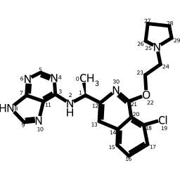 C[C@H](Nc1ncnc2[nH]cnc12)c1cc2cccc(Cl)c2c(OCCN2CCCC2)n1